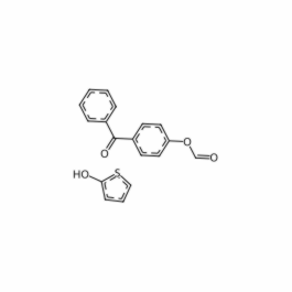 O=COc1ccc(C(=O)c2ccccc2)cc1.Oc1cccs1